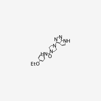 CCOc1ccc(NC(=O)N2CCN(c3ncnc4[nH]ccc34)CC2)cc1